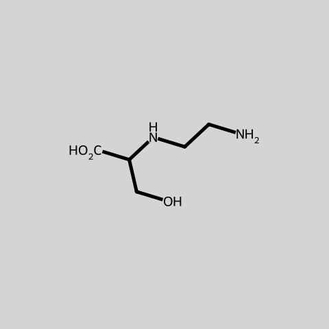 NCCNC(CO)C(=O)O